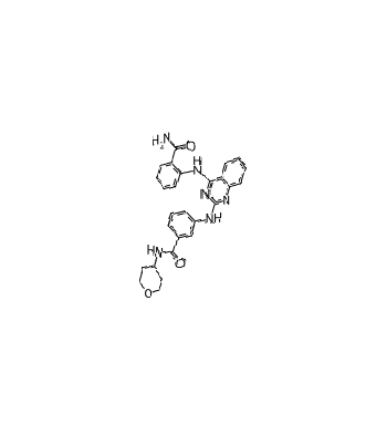 NC(=O)c1ccccc1Nc1nc(Nc2cccc(C(=O)NC3CCOCC3)c2)nc2ccccc12